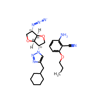 CCCOc1cccc(N)c1C#N.[N-]=[N+]=N[C@H]1CO[C@H]2[C@@H]1OC[C@@H]2n1cc(CC2CCCCC2)nn1